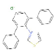 [Cl-].c1ccc(-c2cccc(-c3ccccc3)c2-[n+]2ccsc2)cc1